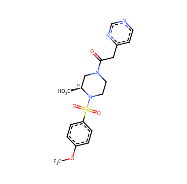 O=C(O)[C@H]1CN(C(=O)Cc2ccncn2)CCN1S(=O)(=O)c1ccc(OC(F)(F)F)cc1